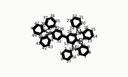 c1ccc(N2c3ccccc3B3c4ccccc4N(c4ccccc4)c4cc(-c5ccc([Si](c6ccccc6)(c6ccccc6)c6ccccc6)cc5)cc2c43)cc1